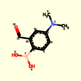 CN(C)c1ccc(B(O)O)c(C=O)c1